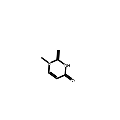 C=C1NC(=O)C=CN1C